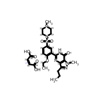 CCCc1nn(C)c2c(=O)[nH]c(-c3cc(S(=O)(=O)N4CCN(C)CC4)ccc3OCC)nc12.O=C(O)/C=C\C(=O)O